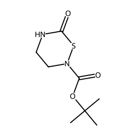 CC(C)(C)OC(=O)N1CCNC(=O)S1